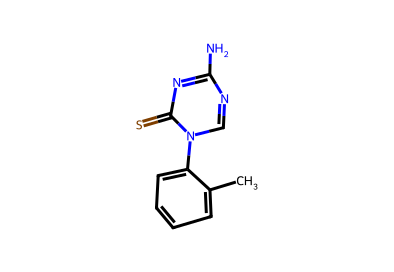 Cc1ccccc1-n1cnc(N)nc1=S